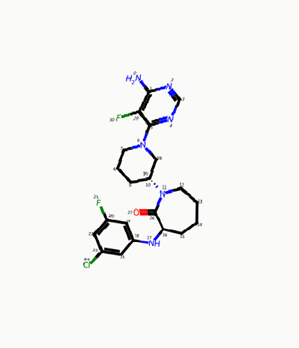 Nc1ncnc(N2CCC[C@@H](N3CCCCC(Nc4cc(F)cc(Cl)c4)C3=O)C2)c1F